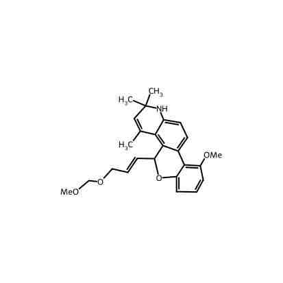 COCOCC=CC1Oc2cccc(OC)c2-c2ccc3c(c21)C(C)=CC(C)(C)N3